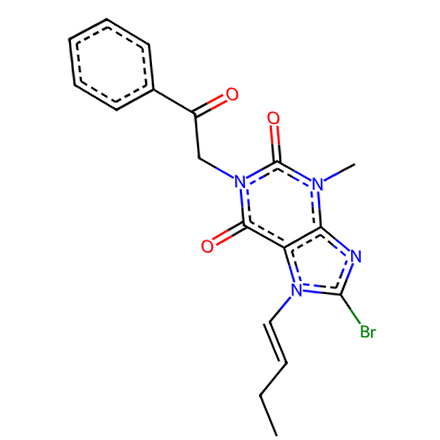 CCC=Cn1c(Br)nc2c1c(=O)n(CC(=O)c1ccccc1)c(=O)n2C